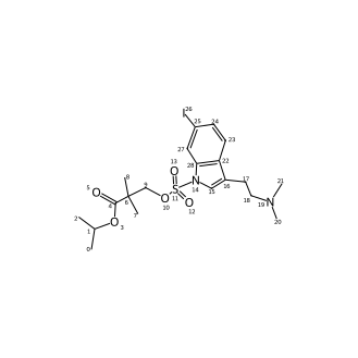 CC(C)OC(=O)C(C)(C)COS(=O)(=O)n1cc(CCN(C)C)c2ccc(I)cc21